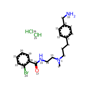 CN(CCCc1ccc(CN)cc1)CCNC(=O)c1ccccc1Br.Cl.Cl